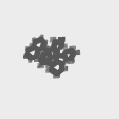 O=C(c1cccc2ccccc12)c1cncn1C(c1ccccc1)(c1ccccc1)c1ccccc1